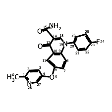 Cc1ccc(Oc2ccc3c(c2)c(=O)c(C(N)=O)cn3-c2ccc(F)cc2)cn1